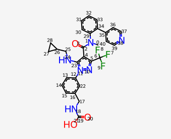 CN(C(=O)c1c(C(F)(F)F)nn(-c2cccc(CNC(=O)O)c2)c1NCC1CC1)c1ccccc1-c1ccncc1